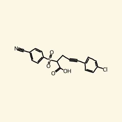 N#Cc1ccc(S(=O)(=O)C(CC#Cc2ccc(Cl)cc2)C(=O)O)cc1